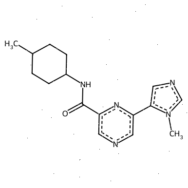 CC1CCC(NC(=O)c2cncc(-c3cncn3C)n2)CC1